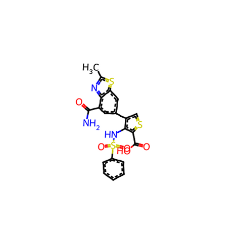 Cc1nc2c(C(N)=O)cc(-c3csc(C(=O)O)c3NS(=O)(=O)c3ccccc3)cc2s1